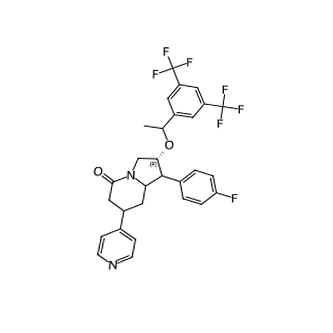 CC(O[C@H]1CN2C(=O)CC(c3ccncc3)CC2C1c1ccc(F)cc1)c1cc(C(F)(F)F)cc(C(F)(F)F)c1